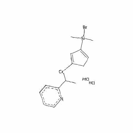 C[CH]([Cr][C]1=CC([Si](C)(C)Br)=CC1)c1ccccn1.Cl.Cl